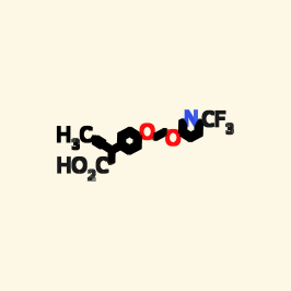 CC#CC(CC(=O)O)c1ccc(OCCOc2ccc(C(F)(F)F)nc2)cc1